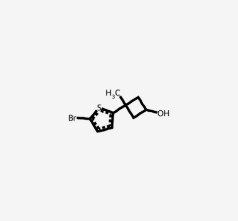 CC1(c2ccc(Br)s2)CC(O)C1